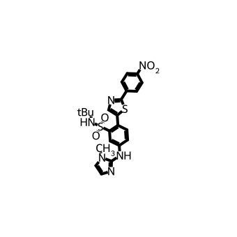 Cn1ccnc1Nc1ccc(-c2cnc(-c3ccc([N+](=O)[O-])cc3)s2)c(S(=O)(=O)NC(C)(C)C)c1